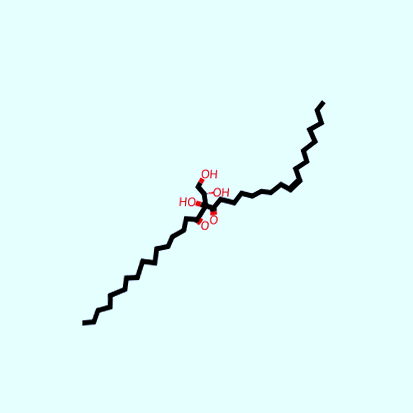 CCCCCCCC/C=C\CCCCCCCC(=O)C(O)(C(=O)CCCCCCCCCCCCCCC)[C@@H](O)CO